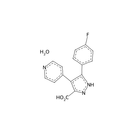 O.O=C(O)c1n[nH]c(-c2ccc(F)cc2)c1-c1ccncc1